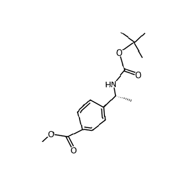 COC(=O)c1ccc([C@@H](C)NC(=O)OC(C)(C)C)cc1